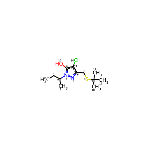 CCC(C)n1nc(CSC(C)(C)C)c(Cl)c1O